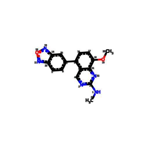 CNc1ncc2c(-c3ccc4nonc4c3)ccc(OC)c2n1